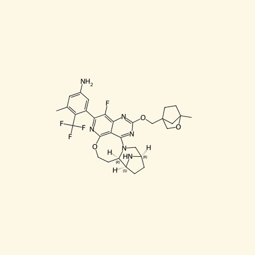 Cc1cc(N)cc(-c2nc3c4c(nc(OCC56CCC(C)(C5)OC6)nc4c2F)N2C[C@H]4CC[C@H](N4)[C@H]2CCO3)c1C(F)(F)F